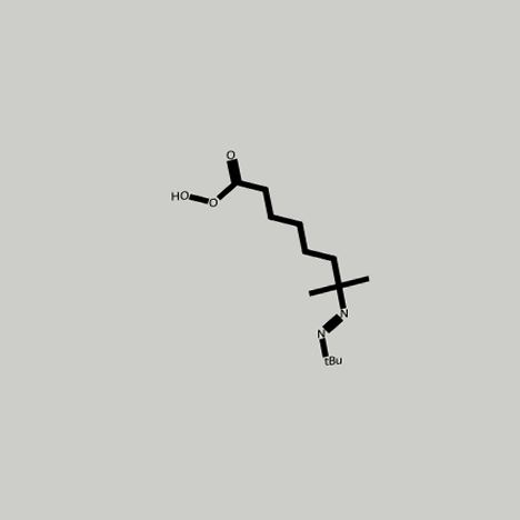 CC(C)(C)N=NC(C)(C)CCCCCC(=O)OO